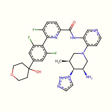 C[C@H]1CN(c2ccncc2NC(=O)c2ccc(F)c(-c3c(F)cc(C4(O)CCOCC4)cc3F)n2)C[C@@H](N)[C@H]1n1ccnn1